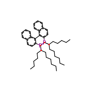 CCCCCCCP(CCCCCCC)c1ccc2ccccc2c1-c1c(P(CCCCCCC)CCCCCCC)ccc2ccccc12